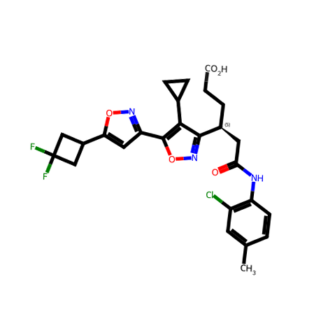 Cc1ccc(NC(=O)C[C@H](CCC(=O)O)c2noc(-c3cc(C4CC(F)(F)C4)on3)c2C2CC2)c(Cl)c1